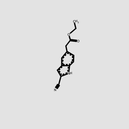 CCOC(=O)Cc1ccc2[nH]c(C#N)cc2c1